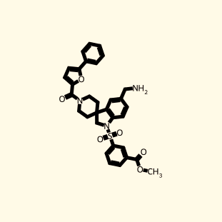 COC(=O)c1cccc(S(=O)(=O)N2CC3(CCN(C(=O)c4ccc(-c5ccccc5)o4)CC3)c3cc(CN)ccc32)c1